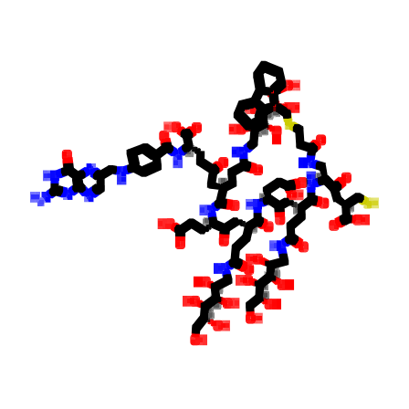 Nc1nc2ncc(CNc3ccc(C(=O)N[C@@H](CCC(=O)C[C@@H](CCC(=O)NC[C@H](O)[C@@H](O)[C@H](O)[C@H](O)CO)C(=O)N[C@@H](CCC(=O)O)C(=O)C[C@@H](CCC(=O)NC[C@H](O)[C@@H](O)[C@H](O)[C@H](O)CO)C(=O)N[C@@H](CCC(=O)O)C(=O)C[C@@H](CCC(=O)NC[C@H](O)[C@@H](O)[C@H](O)[C@H](O)CO)C(=O)N[C@@H](CNC(=O)CCSCC4c5ccccc5-c5ccccc54)C(=O)C[C@@H](CS)C(=O)O)C(=O)O)cc3)nc2c(=O)[nH]1